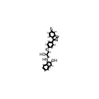 O[C@H](CN[C@H]1c2ccccc2C[C@@H]1O)COc1ccc(-c2noc3cc(F)ccc23)cc1